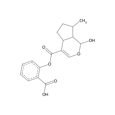 CC1CCC2C(C(=O)Oc3ccccc3C(=O)O)=COC(O)C12